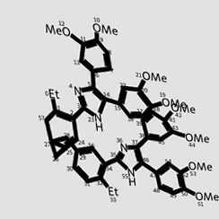 CCC1=C(c2nc(-c3ccc(OC)c(OC)c3)c(-c3ccc(OC)c(OC)c3)[nH]2)C=C2CC2(Cc2ccc(CC)c(-c3nc(-c4ccc(OC)c(OC)c4)c(-c4ccc(OC)c(OC)c4)[nH]3)c2)C1